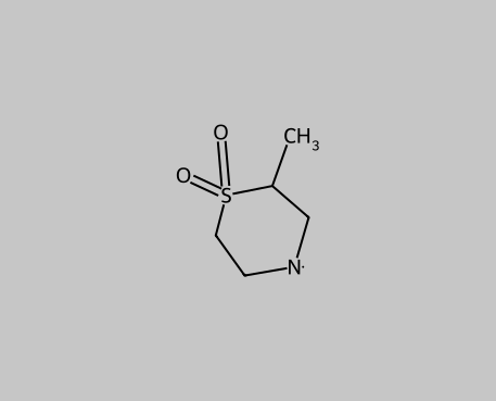 CC1C[N]CCS1(=O)=O